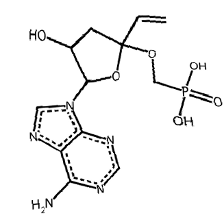 C=CC1(OCP(=O)(O)O)CC(O)C(n2cnc3c(N)ncnc32)O1